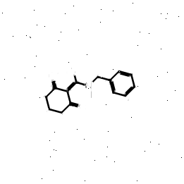 O=C1CCCC(=O)C1=C(S)NCc1ccccc1